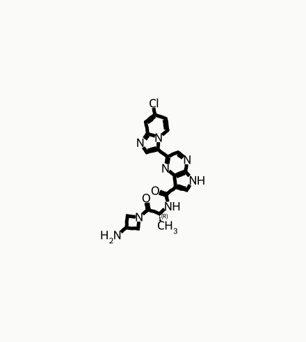 C[C@@H](NC(=O)c1c[nH]c2ncc(-c3cnc4cc(Cl)ccn34)nc12)C(=O)N1CC(N)C1